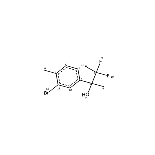 Cc1ccc(C(C)(O)C(F)(F)F)cc1Br